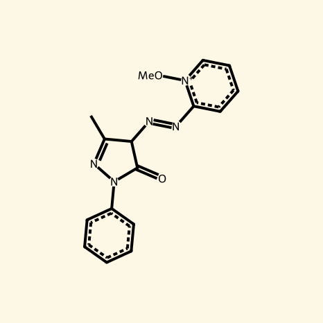 CO[n+]1ccccc1N=NC1C(=O)N(c2ccccc2)N=C1C